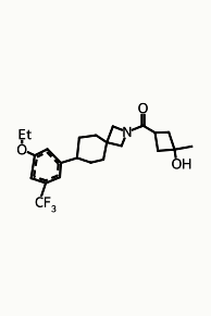 CCOc1cc(C2CCC3(CC2)CN(C(=O)C2CC(C)(O)C2)C3)cc(C(F)(F)F)c1